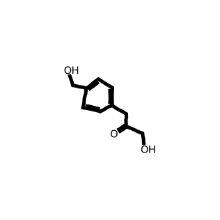 O=C(CO)Cc1ccc(CO)cc1